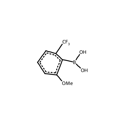 COc1cccc(C(F)(F)F)c1B(O)O